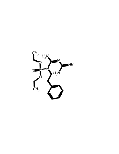 CCOP(=O)(OCC)N(CCc1ccccc1)/C(N)=N\C(=N)N